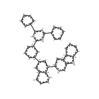 c1ccc(-c2nc(-c3ccccc3)nc(-c3cccc(-c4cc(-c5cc6c(cn5)oc5ccccc56)c5ncccc5c4)c3)n2)cc1